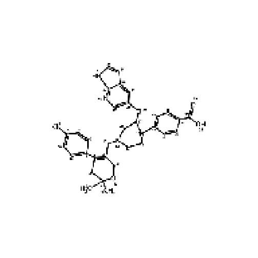 CC1(C)CC(c2ccc(Cl)cc2)=C(CN2CCN(c3ccc(C(=O)O)cc3)C(Oc3cnc4[nH]ccc4c3)C2)CO1